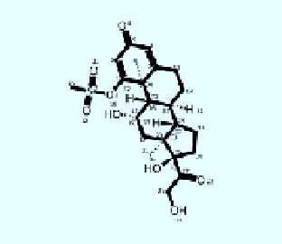 C[C@@]12C(=CC(=O)C=C1OS(C)(=O)=O)CC[C@@H]1[C@@H]2[C@@H](O)C[C@@]2(C)[C@H]1CC[C@]2(O)C(=O)CO